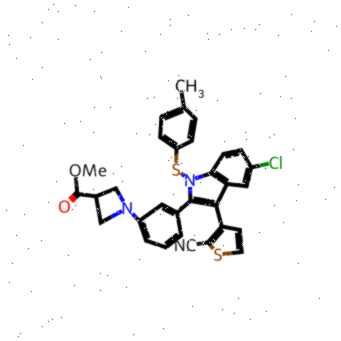 COC(=O)C1CN(c2cccc(-c3c(-c4ccsc4C#N)c4cc(Cl)ccc4n3Sc3ccc(C)cc3)c2)C1